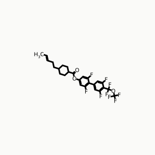 C/C=C/CCC1CCC(C(=O)Oc2cc(F)c(-c3cc(F)c(C(F)(F)OC(F)(F)F)c(F)c3)c(F)c2)CC1